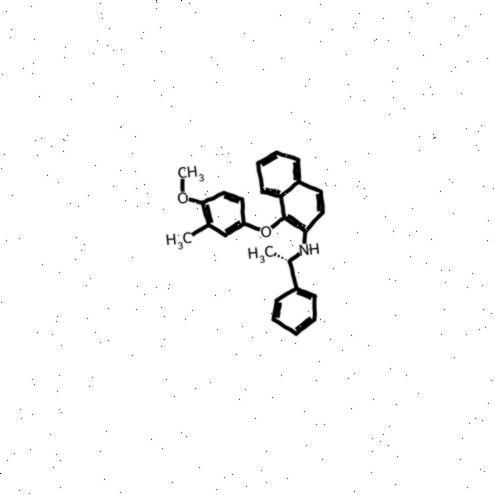 COc1ccc(Oc2c(N[C@@H](C)c3ccccc3)ccc3ccccc23)cc1C